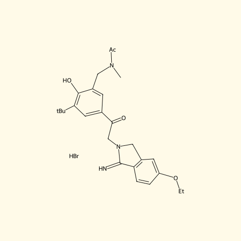 Br.CCOc1ccc2c(c1)CN(CC(=O)c1cc(CN(C)C(C)=O)c(O)c(C(C)(C)C)c1)C2=N